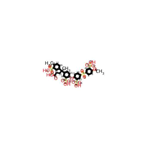 COc1ccc(S(=O)(=O)c2ccc(Oc3ccc(C(C)(CCC(=O)O)c4ccc(C)c(S(=O)(=O)O)c4)cc3S(=O)(=O)O)c(S(=O)(=O)O)c2)cc1S(=O)(=O)O